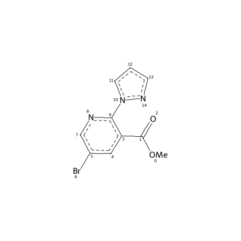 COC(=O)c1cc(Br)cnc1-n1cccn1